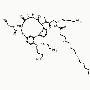 CCCCCCCCCCNCCC(=O)N[C@@H](CCCCN)CC(=O)N(C)[C@@H]1C(=O)N[C@@H](C)C(=O)N[C@H](C(=O)NCC#N)Cc2ccc(OCCN)c(c2)-c2cc1ccc2OCCN